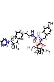 Cc1ccc(C[C@H](NC(=O)NCCc2cccc(CC(C)C(C#N)n3cncn3)c2)B2OC(C)(C)C(C)(C)O2)cc1